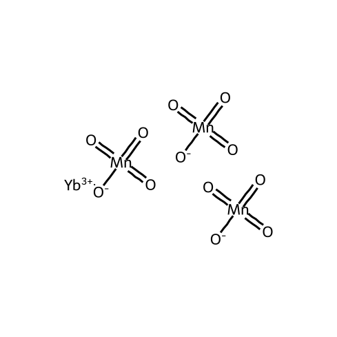 [O]=[Mn](=[O])(=[O])[O-].[O]=[Mn](=[O])(=[O])[O-].[O]=[Mn](=[O])(=[O])[O-].[Yb+3]